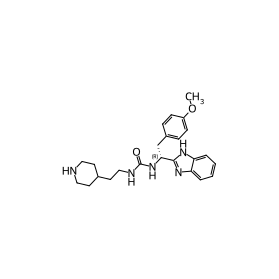 COc1ccc(C[C@@H](NC(=O)NCCC2CCNCC2)c2nc3ccccc3[nH]2)cc1